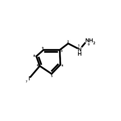 NNCc1ccc(I)cc1